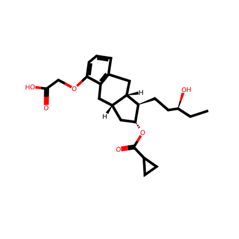 CC[C@H](O)CC[C@@H]1[C@H]2Cc3cccc(OCC(=O)O)c3C[C@H]2C[C@H]1OC(=O)C1CC1